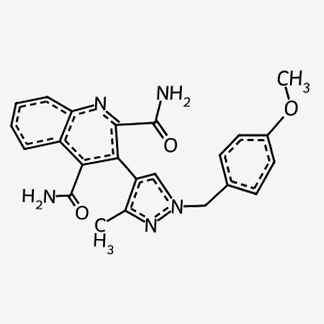 COc1ccc(Cn2cc(-c3c(C(N)=O)nc4ccccc4c3C(N)=O)c(C)n2)cc1